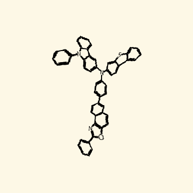 c1ccc(-c2nc3c(ccc4cc(-c5ccc(N(c6ccc7c(c6)sc6ccccc67)c6ccc7c(c6)c6ccccc6n7-c6ccccc6)cc5)ccc43)o2)cc1